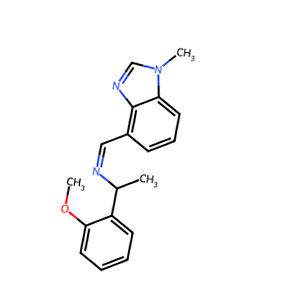 COc1ccccc1C(C)/N=C\c1cccc2c1ncn2C